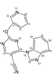 N#Cc1cnc(Oc2cccnc2)nc1-n1cnc2ccccc21